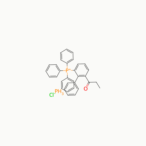 CCC(=O)c1cccc([P+](c2ccccc2)(c2ccccc2)c2ccccc2)c1-c1ccccc1.P.[Cl-]